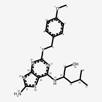 COc1ccc(CSc2nc(NC(CO)CC(C)C)c3sc(N)nc3n2)cc1